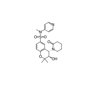 CN(c1ccncc1)S(=O)(=O)c1ccc2c(c1)[C@H](N1CCCCC1=O)[C@@H](O)C(C)(C)O2